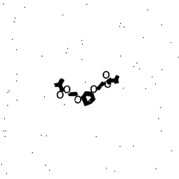 C=C(C)C(=O)OCCOc1cccc(OCCOC(=O)C(=C)C)c1